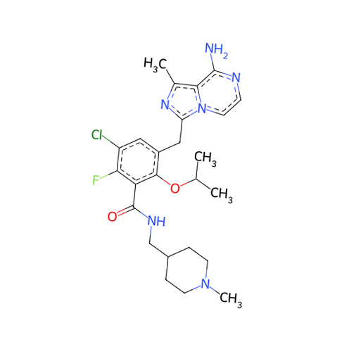 Cc1nc(Cc2cc(Cl)c(F)c(C(=O)NCC3CCN(C)CC3)c2OC(C)C)n2ccnc(N)c12